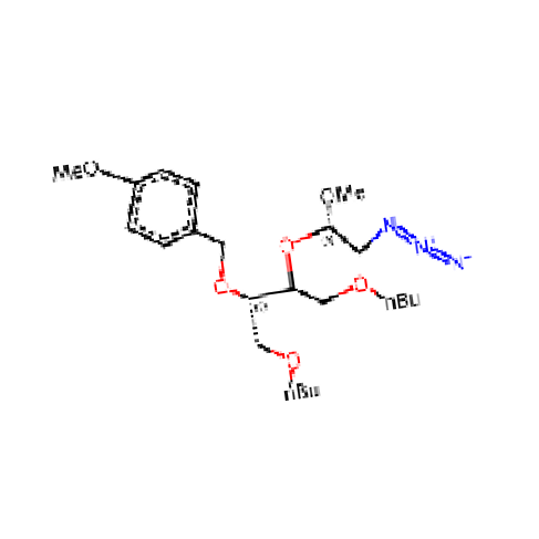 CCCCOCC(O[C@@H](CN=[N+]=[N-])OC)[C@H](COCCCC)OCc1ccc(OC)cc1